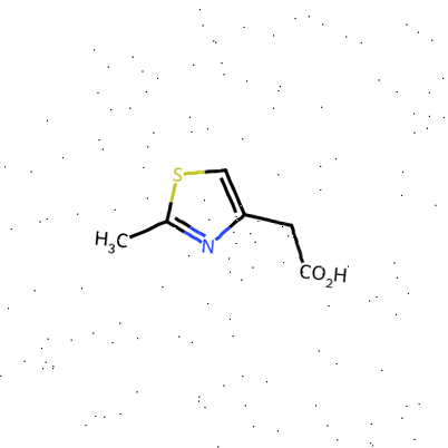 Cc1nc(CC(=O)O)cs1